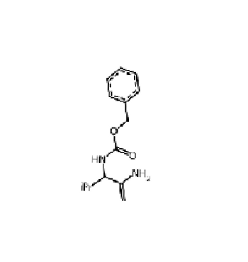 C=C(N)C(NC(=O)OCc1ccccc1)C(C)C